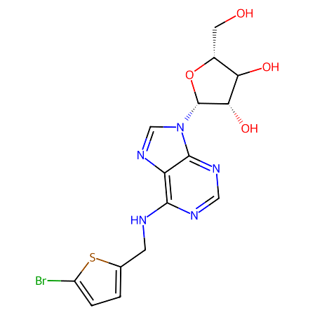 OC[C@H]1O[C@@H](n2cnc3c(NCc4ccc(Br)s4)ncnc32)[C@@H](O)C1O